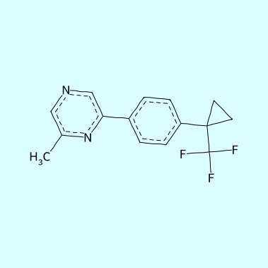 Cc1cncc(-c2ccc(C3(C(F)(F)F)CC3)cc2)n1